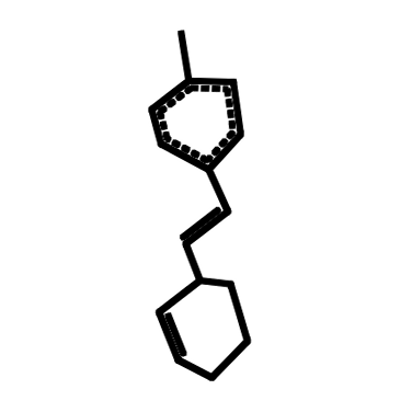 Cc1ccc(/C=C/C2C=CCCC2)cc1